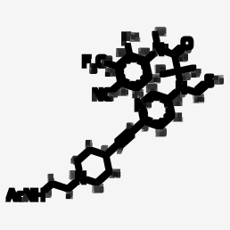 CC(=O)NCCN1CCC(C#Cc2ccc(N(C=S)C(C)(C)C(=O)N(C)c3ccc(C#N)c(C(F)(F)F)c3F)cn2)CC1